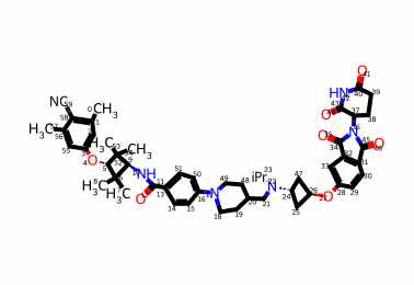 Cc1cc(O[C@H]2C(C)(C)[C@H](NC(=O)c3ccc(N4CCC(CN(C(C)C)[C@H]5C[C@H](Oc6ccc7c(c6)C(=O)N(C6CCC(=O)NC6=O)C7=O)C5)CC4)cc3)C2(C)C)cc(C)c1C#N